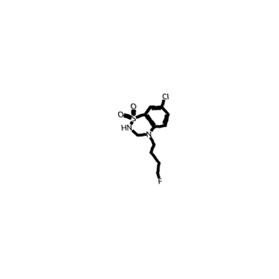 O=S1(=O)NCN(CCCCF)c2ccc(Cl)cc21